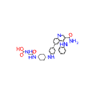 NC(=O)c1cnc2ccc(-c3ccc(N[C@H]4CC[C@@H](NC(=O)CNC(=O)O)CC4)cc3)cc2c1Nc1ccccc1